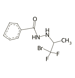 CC(NNC(=O)c1ccccc1)C(F)(F)Br